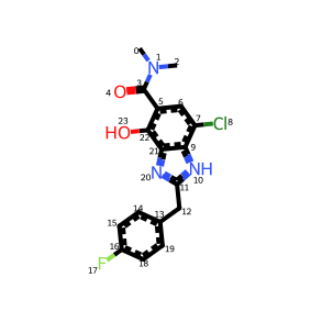 CN(C)C(=O)c1cc(Cl)c2[nH]c(Cc3ccc(F)cc3)nc2c1O